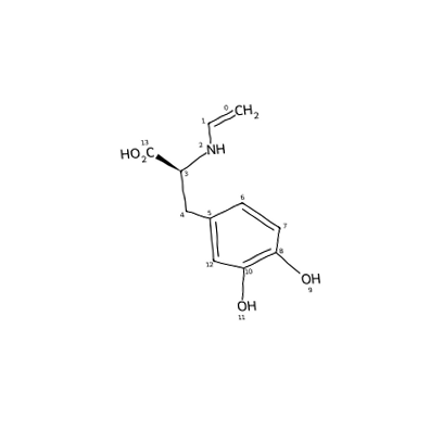 C=CN[C@@H](Cc1ccc(O)c(O)c1)C(=O)O